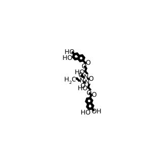 C=CCn1c(=O)n(CC(O)COC(=O)c2ccc3cc(O)c(O)cc3c2)c(=O)n(CC(O)COC(=O)c2ccc3cc(O)c(O)cc3c2)c1=O